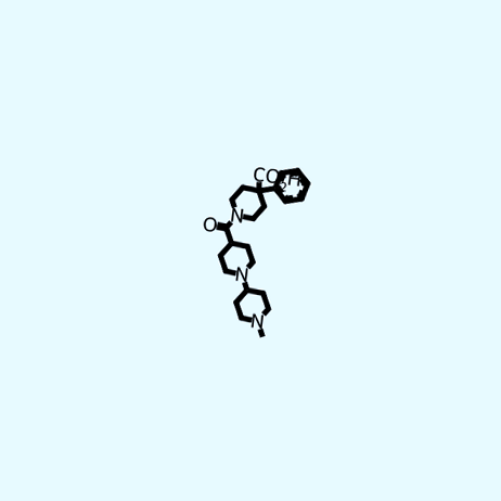 CN1CCC(N2CCC(C(=O)N3CCC(C(=O)O)(c4ccccc4)CC3)CC2)CC1